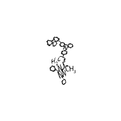 C=C(/C=C\C=C(/C)c1nc(-c2ccccc2)nc(-c2ccccc2)n1)c1ccc(-n2c3ccccc3c3cc(-c4cccc5c4oc4ccccc45)ccc32)cc1